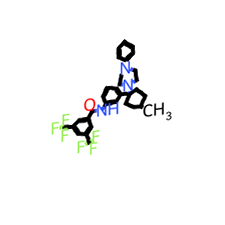 CC1CCC(c2cccc(NC(=O)c3cc(C(F)(F)F)cc(C(F)(F)F)c3)c2)(N2CCN(c3ccccc3)CC2)CC1